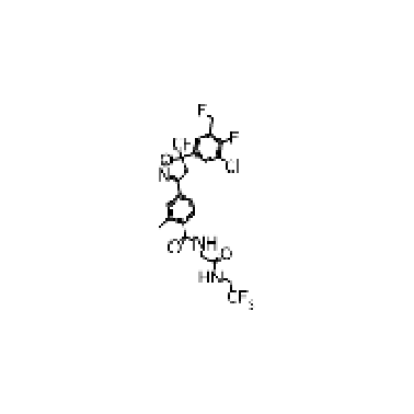 Cc1cc(C2=NOC(c3cc(Cl)c(F)c(CF)c3)(C(F)(F)F)C2)ccc1C(=O)NCC(=O)NCC(F)(F)F